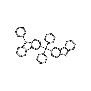 c1ccc(-n2c3ccccc3c3cc(C(c4ccccc4)(c4ccccc4)c4ccc5oc6ccccc6c5c4)ccc32)cc1